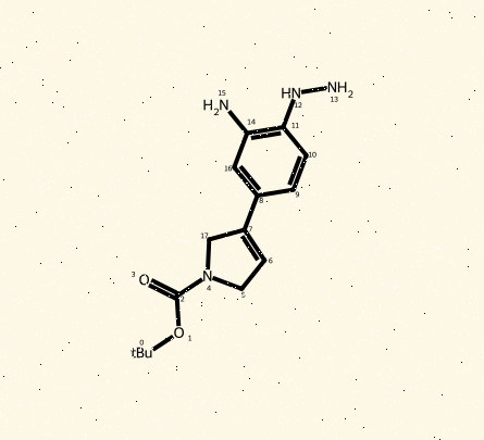 CC(C)(C)OC(=O)N1CC=C(c2ccc(NN)c(N)c2)C1